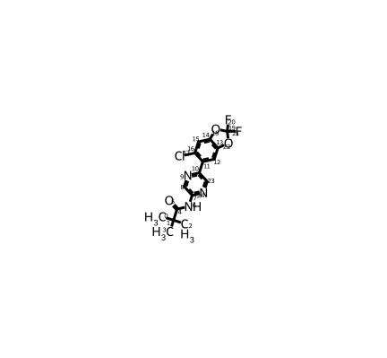 CC(C)(C)C(=O)Nc1cnc(-c2cc3c(cc2Cl)OC(F)(F)O3)cn1